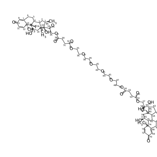 C[C@@H]1CC2C3CCC4=CC(=O)C=C[C@]4(C)[C@@]3(F)[C@@H](O)C[C@]2(C)[C@@]1(O)C(=O)COC(=O)CCC(=O)OCCOCCOCCOCCOCCOC(=O)CCC(=O)OCC(=O)[C@@]1(O)CCC2C3CCC4=CC(=O)C=C[C@]4(C)C3[C@@H](O)C[C@@]21C